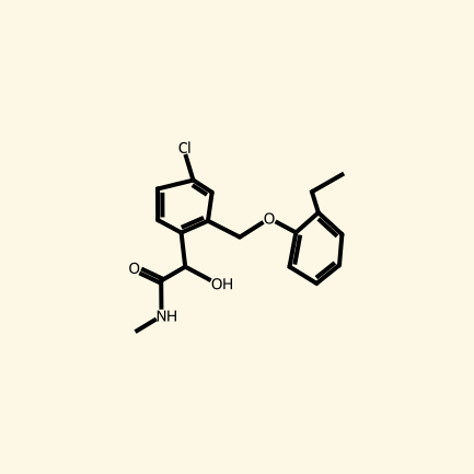 CCc1ccccc1OCc1cc(Cl)ccc1C(O)C(=O)NC